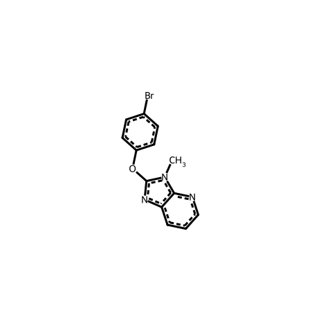 Cn1c(Oc2ccc(Br)cc2)nc2cccnc21